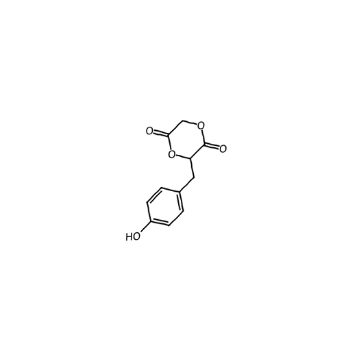 O=C1COC(=O)C(Cc2ccc(O)cc2)O1